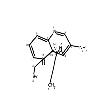 CC1=NC2=C(N)C=NC3=CC=CNC32N1CC(C)C